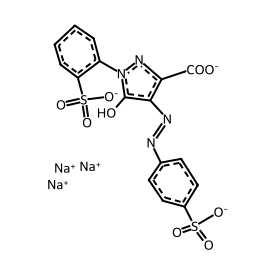 O=C([O-])c1nn(-c2ccccc2S(=O)(=O)[O-])c(O)c1N=Nc1ccc(S(=O)(=O)[O-])cc1.[Na+].[Na+].[Na+]